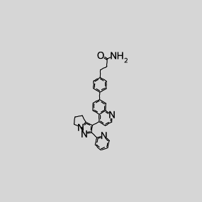 NC(=O)CCc1ccc(-c2ccc3c(-c4c(-c5ccccn5)nn5c4CCC5)ccnc3c2)cc1